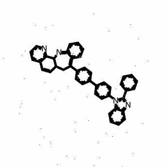 C1=CC2CC(c3ccc(-c4ccc(-n5c(-c6ccccc6)nc6ccccc65)cc4)cc3)=c3ccccc3=NC2c2ncccc21